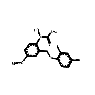 CCOc1ccc(N(O)C(=O)SC)c(COc2ccc(C)cc2C)c1